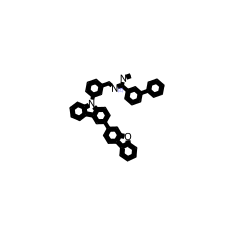 C=N/C(=N\Cc1cccc(-n2c3ccccc3c3cc(-c4ccc5c(c4)oc4ccccc45)ccc32)c1)c1cccc(-c2ccccc2)c1